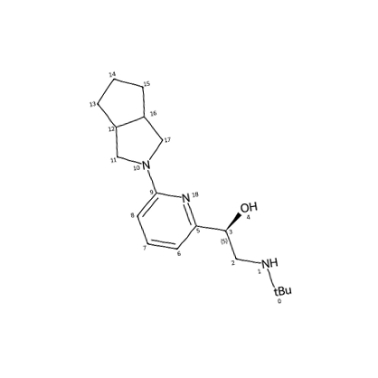 CC(C)(C)NC[C@H](O)c1cccc(N2CC3CCCC3C2)n1